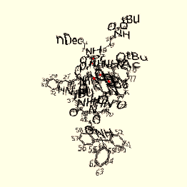 CCCCCCCCCCCCNC(=O)[C@H](CCCCNC(=O)OC(C)(C)C)NC(=O)[C@H](COC(C)(C)C)NC(=O)[C@H](Cc1ccccc1)NC(=O)CNC(=O)[C@H](CCC(=O)NC(c1ccccc1)(c1ccccc1)c1ccccc1)NC(=O)[C@H](C)NC(=O)[C@H](Cc1ccc(OC(C)(C)C)cc1)NC(=O)[C@@H](NC(=O)[C@H](CC(C)C)NC(C)=O)[C@@H](C)CC